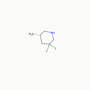 C[C@@H]1CNCC(F)(F)C1